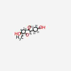 Cc1c(O)ccc2c1OCC(c1ccc(O)cc1)C2=O